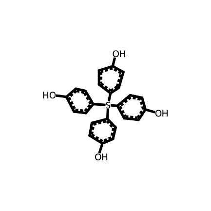 Oc1ccc(S(c2ccc(O)cc2)(c2ccc(O)cc2)c2ccc(O)cc2)cc1